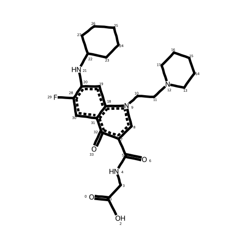 O=C(O)CNC(=O)c1cn(CCN2CCCCC2)c2cc(NC3CCCCC3)c(F)cc2c1=O